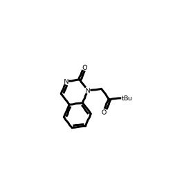 CC(C)(C)C(=O)Cn1c(=O)ncc2ccccc21